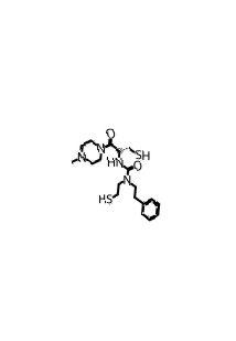 CN1CCN(C(=O)[C@H](CS)NC(=O)N(CCS)CCc2ccccc2)CC1